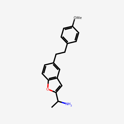 COc1ccc(CCc2ccc3oc(C(C)N)cc3c2)cc1